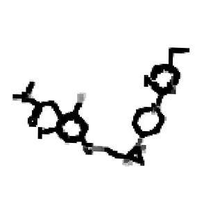 CCc1cnc(N2CCC([C@@H]3C[C@H]3CCOc3cc(F)c(CC(=O)N(C)C)c(F)c3)CC2)nc1